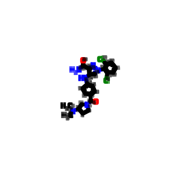 CN(C)[C@@H]1CCN(C(=O)c2ccc(Nc3cn(-c4c(Cl)cccc4Cl)nc3C(N)=O)cc2)C1